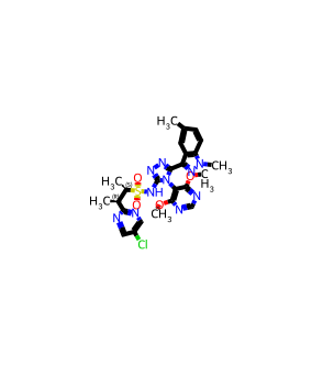 COc1ncnc(OC)c1-n1c(NS(=O)(=O)[C@@H](C)[C@H](C)c2ncc(Cl)cn2)nnc1-c1nn(C)c2ccc(C)cc12